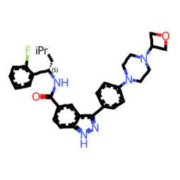 CC(C)C[C@H](NC(=O)c1ccc2[nH]nc(-c3ccc(N4CCN(C5COC5)CC4)cc3)c2c1)c1ccccc1F